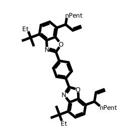 C=CC(CCCCC)c1ccc(C(C)(C)CC)c2nc(-c3ccc(-c4nc5c(C(C)(C)CC)ccc(C(C=C)CCCCC)c5o4)cc3)oc12